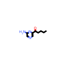 CCCCC(=O)c1cncc(N)n1